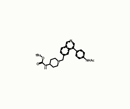 CC(=O)Nc1ccc(-c2cncc3ccc(CN4CCC(NC(=O)OC(C)(C)C)CC4)cc23)cc1